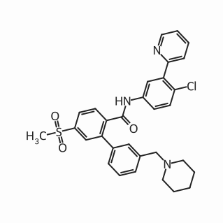 CS(=O)(=O)c1ccc(C(=O)Nc2ccc(Cl)c(-c3ccccn3)c2)c(-c2cccc(CN3CCCCC3)c2)c1